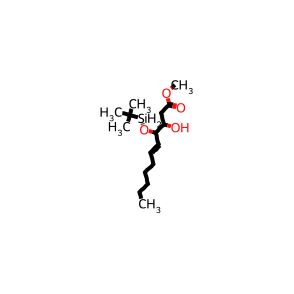 CCCCCC=CC(O[SiH2]C(C)(C)C)C(O)CC(=O)OC